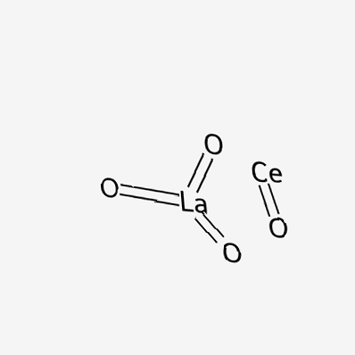 [O]=[Ce].[O]=[La](=[O])=[O]